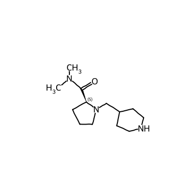 CN(C)C(=O)[C@@H]1CCCN1CC1CCNCC1